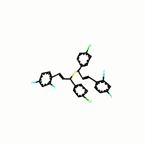 Fc1ccc(C=CC(SC(C=Cc2ccc(F)cc2F)c2ccc(Cl)cc2)c2ccc(Cl)cc2)c(F)c1